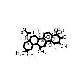 C=C1C=C2[C@@]3(C)C=C(C#N)C(=O)C(C)(C)[C@@H]3CC[C@@]2(C)[C@]2(C)CC[C@@]3(NC(N)=O)CCC(C)(C)CC3C12